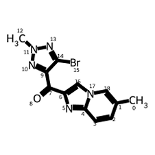 Cc1ccc2nc(C(=O)c3nn(C)nc3Br)cn2c1